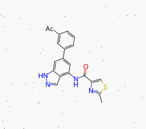 CC(=O)c1cccc(-c2cc(NC(=O)c3csc(C)n3)c3cn[nH]c3c2)c1